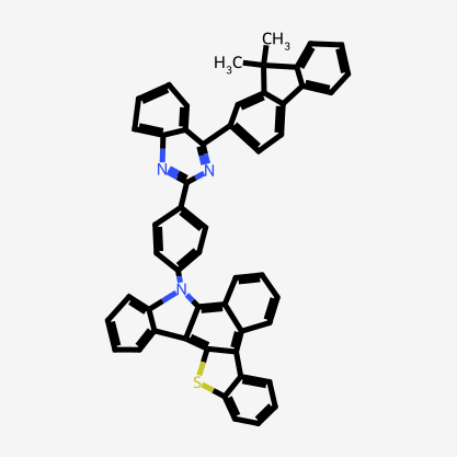 CC1(C)c2ccccc2-c2ccc(-c3nc(-c4ccc(-n5c6ccccc6c6c7sc8ccccc8c7c7ccccc7c65)cc4)nc4ccccc34)cc21